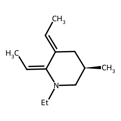 C/C=C1\C[C@@H](C)CN(CC)\C1=C\C